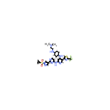 CN(C)CCNC1CCC(Nc2cc(Nc3ccnc(-c4cnn(S(=O)(=O)C5CC5)c4)n3)ncc2-c2csc(C(F)(F)F)n2)CC1